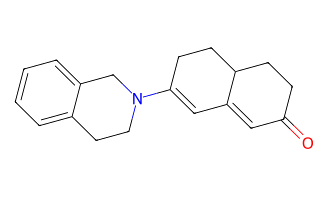 O=C1C=C2C=C(N3CCc4ccccc4C3)CCC2CC1